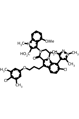 COc1cccc2c1c(N1C[C@@H](C)n3c(c(CCCOc4cc(C)c(Cl)c(C)c4)c4ccc(Cl)c(-c5c(C)nn(C)c5C)c43)C1=O)c(C(=O)O)n2C